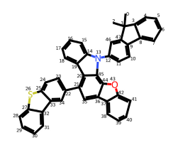 CC1(C)c2ccccc2-c2ccc(-n3c4ccccc4c4c(-c5ccc6sc7ccccc7c6c5)cc5c6ccccc6oc5c43)cc21